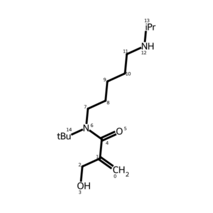 C=C(CO)C(=O)N(CCCCCNC(C)C)C(C)(C)C